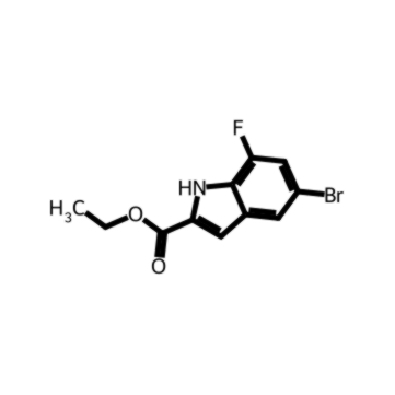 CCOC(=O)c1cc2cc(Br)cc(F)c2[nH]1